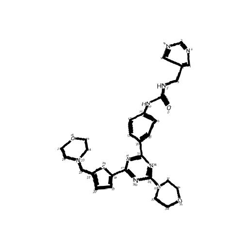 O=C(NCc1cncnc1)Nc1ccc(-c2nc(-c3ccc(CN4CCOCC4)s3)nc(N3CCOCC3)n2)cc1